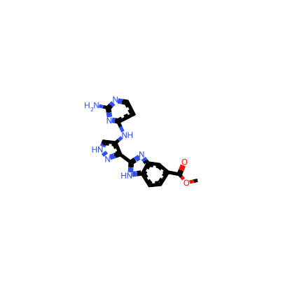 COC(=O)c1ccc2[nH]c(-c3n[nH]cc3Nc3ccnc(N)n3)nc2c1